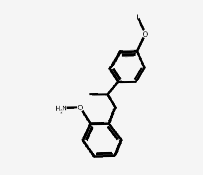 CC(Cc1ccccc1ON)c1ccc(OI)cc1